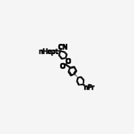 CCCCCCCC1(C#N)CCC(OC(=O)c2ccc([C@H]3CC[C@H](CCC)CC3)cc2)CC1